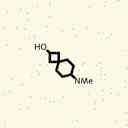 CNC1CCC2(CC1)CC(O)C2